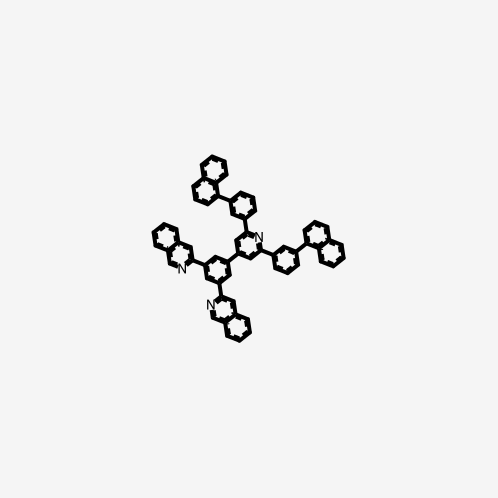 c1cc(-c2cc(-c3cc(-c4cc5ccccc5cn4)cc(-c4cc5ccccc5cn4)c3)cc(-c3cccc(-c4cccc5ccccc45)c3)n2)cc(-c2cccc3ccccc23)c1